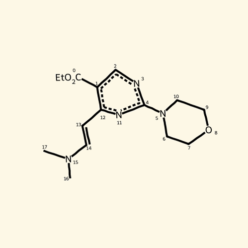 CCOC(=O)c1cnc(N2CCOCC2)nc1C=CN(C)C